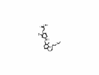 CCOCCN1CCCc2ccc(CNc3ccc(CCC(=O)O)c(F)c3)c(C)c21